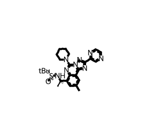 Cc1cc([C@@H](C)N[S@+]([O-])C(C)(C)C)c2nc(N3CCCCC3)n3nc(-c4cnccn4)nc3c2c1